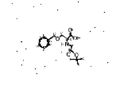 CC(C)(C)OC(=O)CN[C@@H](COCc1ccccc1)C(=O)O